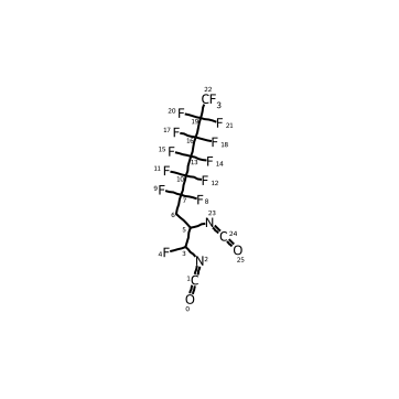 O=C=NC(F)C(CC(F)(F)C(F)(F)C(F)(F)C(F)(F)C(F)(F)C(F)(F)F)N=C=O